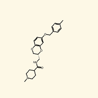 Cc1ccc(COc2ccc3c(c2)O[C@H](CNC(=O)C2CCN(C)CC2)CO3)cc1